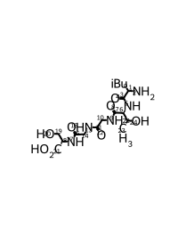 CCC(C)C(N)C(=O)N[C@H](C(=O)NCC(=O)NCC(=O)N[C@@H](CO)C(=O)O)[C@H](C)O